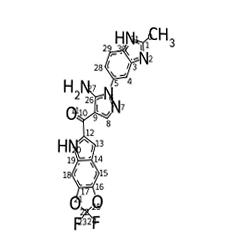 Cc1nc2cc(-n3ncc(C(=O)c4cc5cc6c(cc5[nH]4)OC(F)(F)O6)c3N)ccc2[nH]1